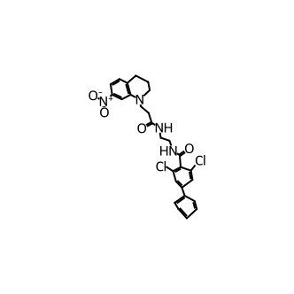 O=C(CCN1CCCc2ccc([N+](=O)[O-])cc21)NCCNC(=O)c1c(Cl)cc(-c2ccccc2)cc1Cl